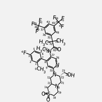 Cc1cc(F)ccc1-c1cc(N2CC3CS(=O)(=O)CCN3C[C@H]2CO)ncc1N(C)C(=O)C(C)(C)c1cc(C(F)(F)F)cc(C(F)(F)F)c1